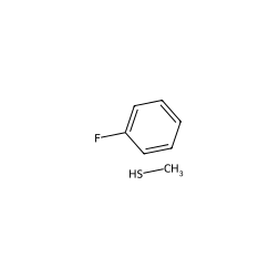 CS.Fc1ccccc1